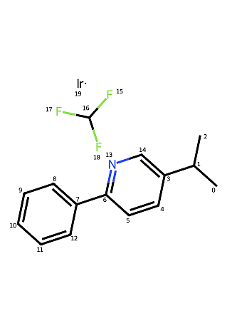 CC(C)c1ccc(-c2ccccc2)nc1.FC(F)F.[Ir]